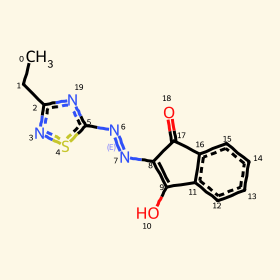 CCc1nsc(/N=N/C2=C(O)c3ccccc3C2=O)n1